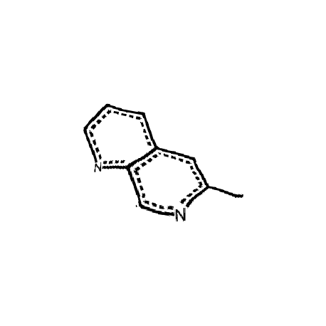 Cc1cc2cccnc2[c]n1